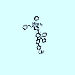 C/C=C(\C=C/C=C/c1ccc2c(c1)C(c1ccccc1)(c1ccccc1)c1cc(-c3ccc(C#N)cc3)ccc1-2)C(=N/Cc1ccccc1)/N=C(\N)c1ccccc1